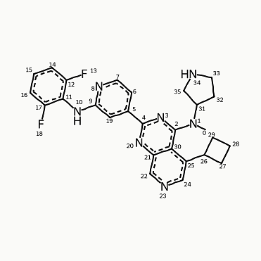 CN(c1nc(-c2ccnc(Nc3c(F)cccc3F)c2)nc2cncc(C3CCC3)c12)C1CCNC1